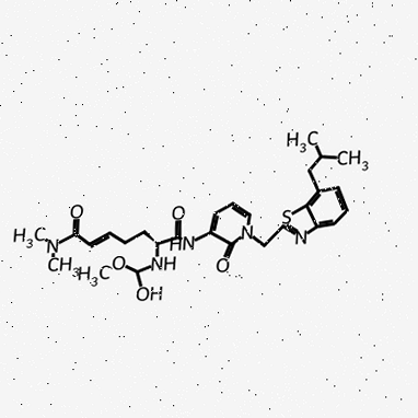 COC(O)N[C@@H](CC/C=C/C(=O)N(C)C)C(=O)Nc1cccn(Cc2nc3cccc(CC(C)C)c3s2)c1=O